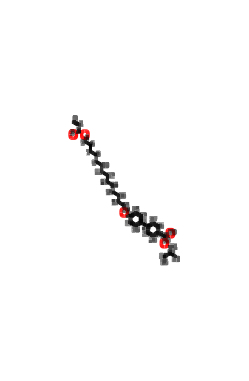 C=CC(=O)OCCCCCCCCCCCCCCOc1ccc(-c2ccc(C(=O)OCC(C)CC)cc2)cc1